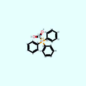 [O]=[Ti](=[O])[PH](c1ccccc1)(c1ccccc1)c1ccccc1